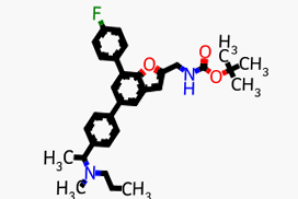 CCCN(C)C(C)c1ccc(-c2cc(-c3ccc(F)cc3)c3oc(CNC(=O)OC(C)(C)C)cc3c2)cc1